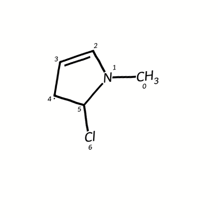 CN1C=C[CH]C1Cl